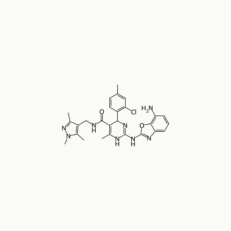 CC1=C(C(=O)NCc2c(C)nn(C)c2C)C(c2ccc(C)cc2Cl)N=C(Nc2nc3cccc(N)c3o2)N1